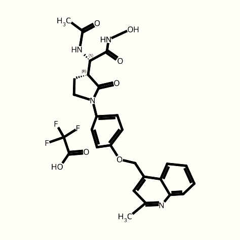 CC(=O)N[C@H](C(=O)NO)[C@H]1CCN(c2ccc(OCc3cc(C)nc4ccccc34)cc2)C1=O.O=C(O)C(F)(F)F